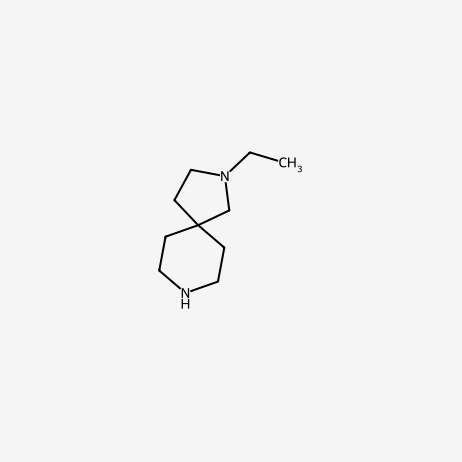 CCN1CCC2(CCNCC2)C1